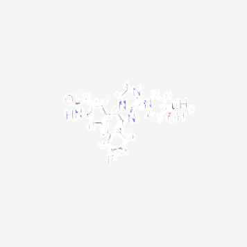 CC1(O)CCN(c2nccn3c(-c4ccc5c(c4)CC(=O)N5)c(-c4ccc(F)cc4)nc23)CC1